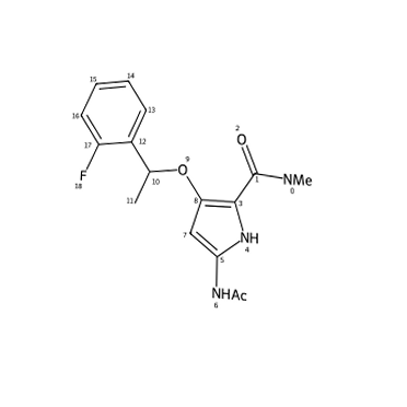 CNC(=O)c1[nH]c(NC(C)=O)cc1OC(C)c1ccccc1F